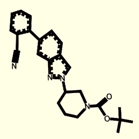 CC(C)(C)OC(=O)N1CCCC(n2cc3ccc(-c4ccccc4C#N)cc3n2)C1